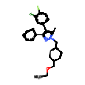 Cc1c(-c2ccc(F)c(Cl)c2)c(-c2ccccc2)nn1CC1CCC(COCC(=O)O)CC1